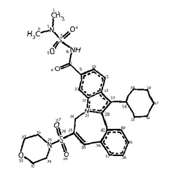 CN(C)S(=O)(=O)NC(=O)c1ccc2c(C3CCCCC3)c3n(c2c1)CC(S(=O)(=O)N1CCOCC1)=Cc1ccccc1-3